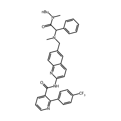 CCCCN(C)C(=O)C(c1ccccc1)N(C)Cc1ccc2nc(NC(=O)c3cccnc3-c3ccc(C(F)(F)F)cc3)ccc2c1